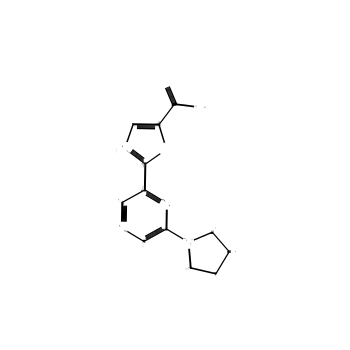 O=C(O)c1cnc(-c2cncc(N3CCCC3)n2)o1